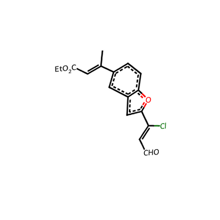 CCOC(=O)C=C(C)c1ccc2oc(C(Cl)=CC=O)cc2c1